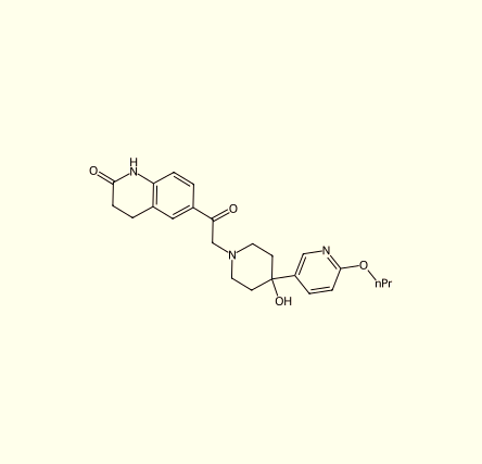 CCCOc1ccc(C2(O)CCN(CC(=O)c3ccc4c(c3)CCC(=O)N4)CC2)cn1